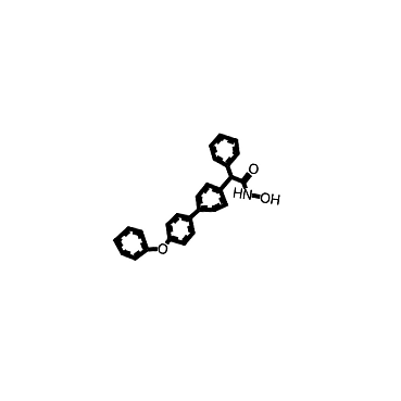 O=C(NO)C(c1ccccc1)c1ccc(-c2ccc(Oc3ccccc3)cc2)cc1